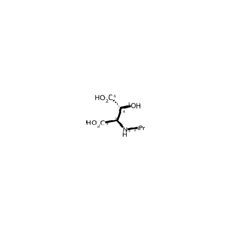 CC(C)NC(C(=O)O)[C@@H](O)C(=O)O